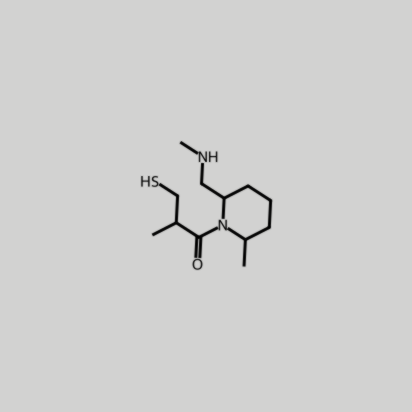 CNCC1CCCC(C)N1C(=O)C(C)CS